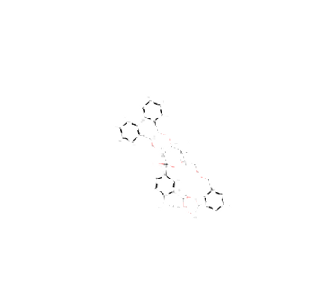 COc1ccc(C2(O)O[C@H](COCc3ccccc3)[C@@H](C)C(OCc3ccccc3)[C@H]2OCc2ccccc2)cc1C1OCCO1